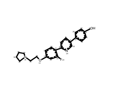 Oc1ccc(-c2ccc(-c3ccc(OCCN4CCCC4)cc3F)nc2)cc1